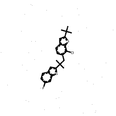 CC(C)(C)c1cc2ccc(CC(C)(C)c3cc4ccc(F)cc4s3)c(Cl)c2s1